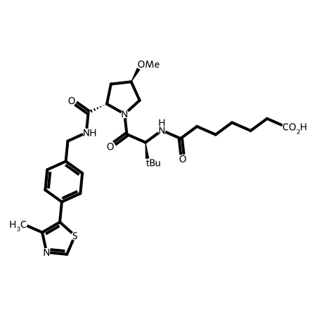 CO[C@@H]1C[C@@H](C(=O)NCc2ccc(-c3scnc3C)cc2)N(C(=O)[C@@H](NC(=O)CCCCCC(=O)O)C(C)(C)C)C1